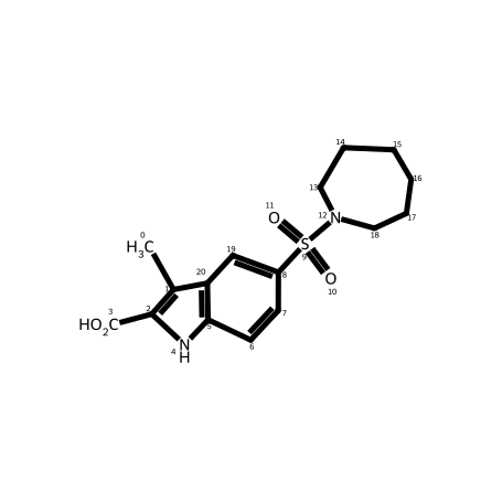 Cc1c(C(=O)O)[nH]c2ccc(S(=O)(=O)N3CCCCCC3)cc12